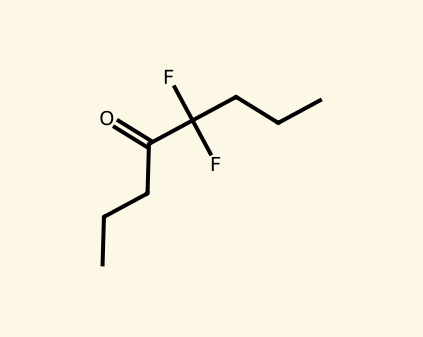 CCCC(=O)C(F)(F)CCC